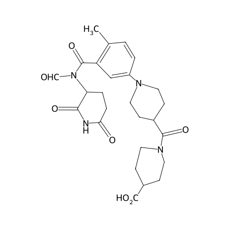 Cc1ccc(N2CCC(C(=O)N3CCC(C(=O)O)CC3)CC2)cc1C(=O)N(C=O)C1CCC(=O)NC1=O